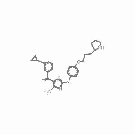 Nc1nc(Nc2ccc(OCCCC3CCCN3)cc2)sc1C(=O)c1cccc(C2CC2)c1